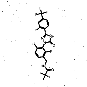 CC(C)(C)C(=O)NCc1ccc(Cl)c(-n2nc(-c3ccc(C(F)(F)F)cc3F)[nH]c2=O)c1F